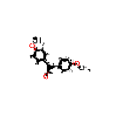 COc1ccc(-c2c(-c3ccc(OC)cc3)c2=O)cc1